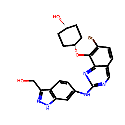 OCc1n[nH]c2cc(Nc3ncc4ccc(Br)c(O[C@H]5CC[C@@H](O)CC5)c4n3)ccc12